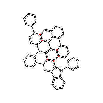 c1ccc(-c2ccc(N(c3ccccc3-c3ccc4c(c3)c3ccccc3n4-c3ccccc3)c3ccccc3-c3cccc4cccc(-c5ccccc5)c34)cc2)cc1